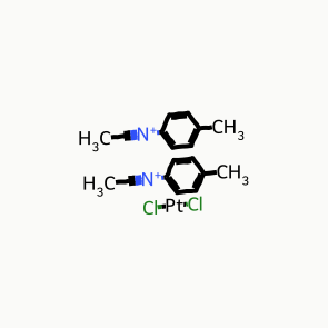 CC#[N+]c1ccc(C)cc1.CC#[N+]c1ccc(C)cc1.[Cl][Pt][Cl]